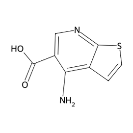 Nc1c(C(=O)O)cnc2sccc12